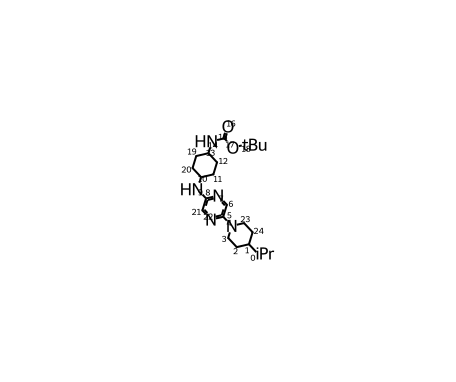 CC(C)C1CCN(c2cnc(NC3CCC(NC(=O)OC(C)(C)C)CC3)cn2)CC1